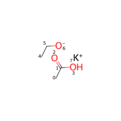 CC(=O)O.CC[O-].[K+]